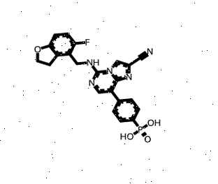 N#Cc1cn2c(NCc3c(F)ccc4c3CCO4)ncc(-c3ccc(P(=O)(O)O)cc3)c2n1